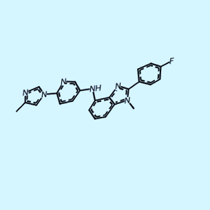 Cc1cn(-c2ccc(Nc3cccc4c3nc(-c3ccc(F)cc3)n4C)cn2)cn1